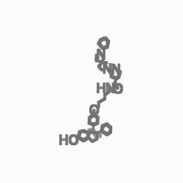 O=C(NCCCCCOc1ccc([C@@H]2c3ccc(O)cc3CC[C@@H]2c2ccccc2)cc1)c1ccnc(N2CCC3(CCN(c4ccccc4)C3)C2)c1